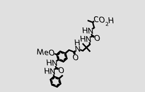 COc1cc(CC(=O)NCC(C)(C)CNC(=O)NCC(C)C(=O)O)ccc1NC(=O)Nc1ccccc1C